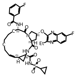 CCc1nc2ccc(F)cc2nc1O[C@@H]1C[C@H]2C(=O)N[C@]3(C(=O)NS(=O)(=O)C4CC4)C[C@H]3C=CCCCCC[C@H](NC(=O)c3cccc(F)c3)C(=O)N2C1